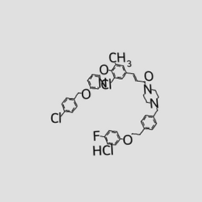 Cc1cc(C=CC(=O)N2CCN(Cc3ccc(CCOc4ccc(F)cc4)cc3)CC2)cc(Cl)c1Oc1ccc(OCc2ccc(Cl)cc2)cn1.Cl